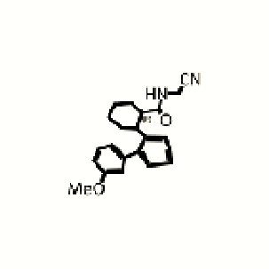 COc1cccc(-c2ccccc2C2CCCC[C@H]2C(=O)NCC#N)c1